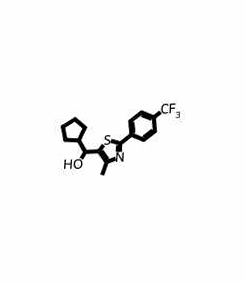 Cc1nc(-c2ccc(C(F)(F)F)cc2)sc1C(O)C1CCCC1